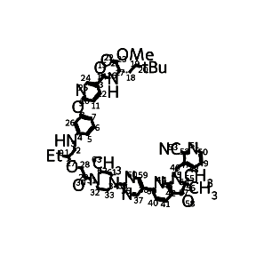 CCC(CNc1cccc(Oc2ccc(C(=O)N[C@@H](CCC(C)(C)C)C(=O)OC)cn2)c1)OCC(=O)N1CCN(c2ncc(-c3ccc4c(n3)N(Cc3cccnc3C#N)C(C)(C)C4=O)cn2)C[C@H]1C